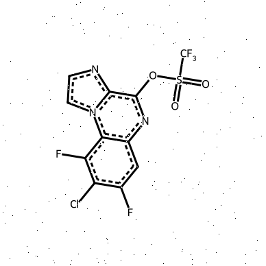 O=S(=O)(Oc1nc2cc(F)c(Cl)c(F)c2n2ccnc12)C(F)(F)F